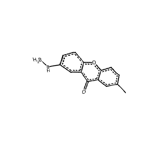 BBc1ccc2oc3ccc(C)cc3c(=O)c2c1